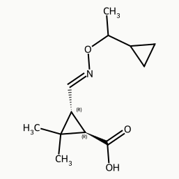 CC(ON=C[C@@H]1[C@@H](C(=O)O)C1(C)C)C1CC1